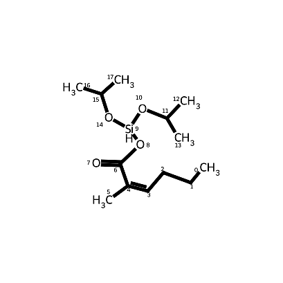 CCCC=C(C)C(=O)O[SiH](OC(C)C)OC(C)C